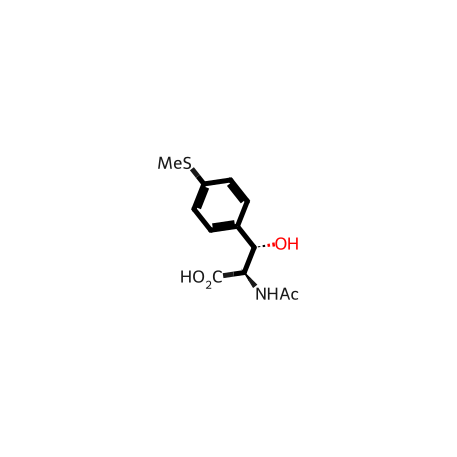 CSc1ccc([C@H](O)[C@@H](NC(C)=O)C(=O)O)cc1